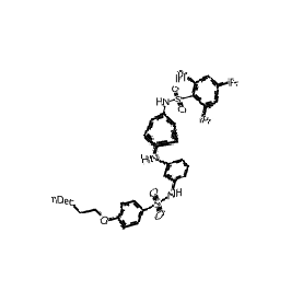 CCCCCCCCCCCCOc1ccc(S(=O)(=O)Nc2cccc(Nc3ccc(NS(=O)(=O)c4c(C(C)C)cc(C(C)C)cc4C(C)C)cc3)c2)cc1